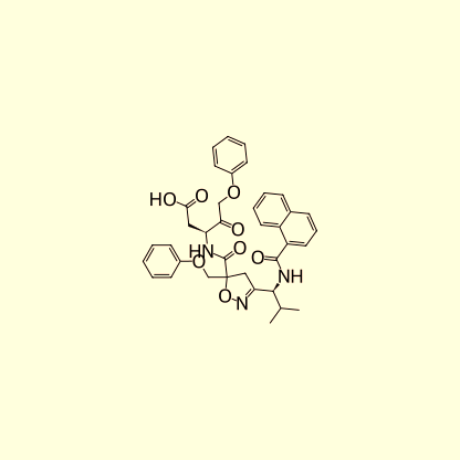 CC(C)[C@H](NC(=O)c1cccc2ccccc12)C1=NOC(COc2ccccc2)(C(=O)N[C@@H](CC(=O)O)C(=O)COc2ccccc2)C1